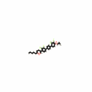 CCCCCC1CCC(c2ccc(-c3ccc(-c4ccc(OCCC)c(F)c4F)cc3)c(F)c2F)CO1